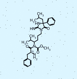 COC(=O)N(C(=O)[C@@H](N)Cc1ccccc1)C(CCCN1C(=N)NC(CC(C)C)(c2ccccc2)C1=O)C(C)C